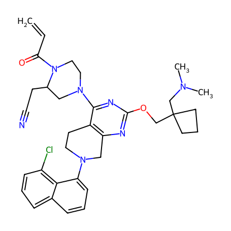 C=CC(=O)N1CCN(c2nc(OCC3(CN(C)C)CCC3)nc3c2CCN(c2cccc4cccc(Cl)c24)C3)CC1CC#N